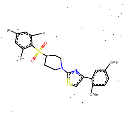 COc1ccc(OC)c(-c2csc(N3CCC(S(=O)(=O)c4c(C(C)C)cc(C(C)C)cc4C(C)C)CC3)n2)c1